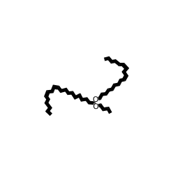 CCCCC/C=C\C/C=C\CCCCCCCCCC(OCCCC)OCCCCCCCC/C=C\C/C=C\CCCCC